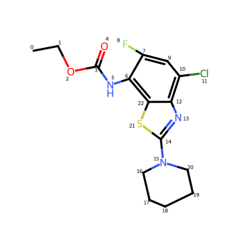 CCOC(=O)Nc1c(F)cc(Cl)c2nc(N3CCCCC3)sc12